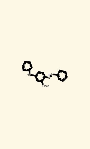 COc1cc(Nc2ccccc2)ccc1/N=N/c1ccccc1